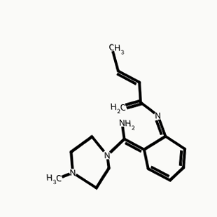 C=C(/C=C/C)/N=C1/C=CC=C/C1=C(/N)N1CCN(C)CC1